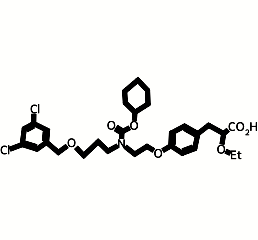 CCOC(Cc1ccc(OCCN(CCCOCc2cc(Cl)cc(Cl)c2)C(=O)OC2CCCCC2)cc1)C(=O)O